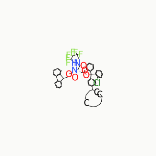 O=C(C[C@H](NC(=O)OCC1c2ccccc2-c2ccccc21)C(=O)N1CC(F)(F)C(F)(F)C(F)(F)C1)OC(c1ccccc1)(c1ccc(C2CCCCCCCCCCCC2)cc1)c1ccccc1Cl